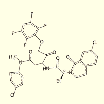 CC[C@@H](C(=O)NC(CC(=O)N(C)c1ccc(Cl)cc1)C(=O)COc1c(F)c(F)cc(F)c1F)n1ccc2ccc(Cl)cc2c1=O